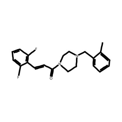 Cc1ccccc1CN1CCN(C(=O)C=Cc2c(F)cccc2F)CC1